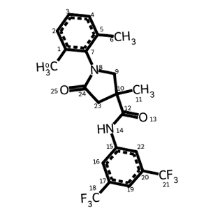 Cc1cccc(C)c1N1CC(C)(C(=O)Nc2cc(C(F)(F)F)cc(C(F)(F)F)c2)CC1=O